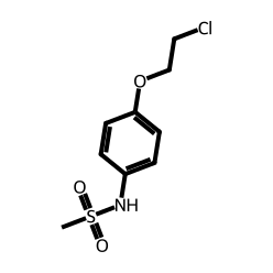 CS(=O)(=O)Nc1ccc(OCCCl)cc1